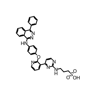 O=S(=O)(O)CCCNc1nccc(-c2cccnc2Oc2ccc(Nc3nnc(-c4ccccc4)c4ccccc34)cc2)n1